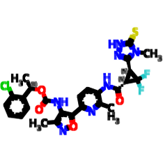 Cc1nc(-c2onc(C)c2NC(=O)O[C@H](C)c2ccccc2Cl)ccc1NC(=O)[C@@H]1[C@@H](c2n[nH]c(=S)n2C)C1(F)F